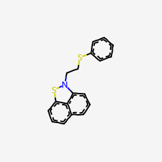 c1ccc(SCCN2Sc3cccc4cccc2c34)cc1